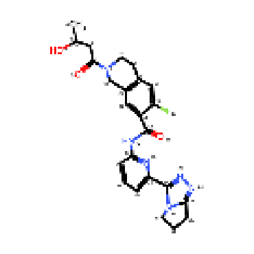 C[C@H](O)CC(=O)N1CCc2cc(F)c(C(=O)Nc3cccc(-c4nnc5n4CCC5)n3)cc2C1